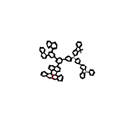 CC1(C)c2ccccc2-c2ccc(N(c3ccc(-c4cc(-c5cc(-c6cccc7ccccc67)cc(-c6cccc7ccccc67)c5)cc(-c5ccc(-c6cccc7ccccc67)c6c(-c7cccc8ccccc78)cccc56)c4)cc3)c3ccc(-c4ccc5c(c4)c4ccccc4n5-c4ccccc4)cc3)cc21